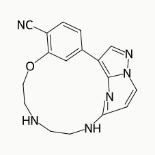 N#Cc1ccc2cc1OCCNCCNc1ccn3ncc-2c3n1